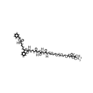 CC(C)(C)OC(=O)CCOCCOCCOCCOCCNC(=O)CNC(=O)CNC(=O)CCCNC(=O)OC(CCCCNC(=O)OCc1ccccc1)c1ccccc1